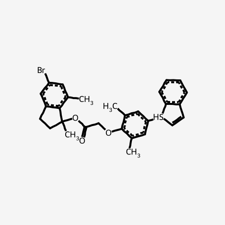 Cc1cc([SH]2C=Cc3ccccc32)cc(C)c1OCC(=O)OC1(C)CCc2cc(Br)cc(C)c21